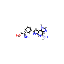 CNc1nc2[nH]c(-c3cccc([C@@H](N)CO)c3)cc2c2c1ncn2C